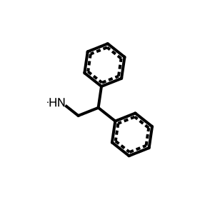 [NH]CC(c1ccccc1)c1ccccc1